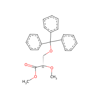 COC(=O)[C@H](COC(c1ccccc1)(c1ccccc1)c1ccccc1)OC